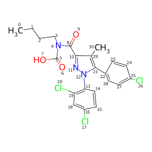 CCCCN(C(=O)O)C(=O)c1nn(-c2ccc(Cl)cc2Cl)c(-c2ccc(Cl)cc2)c1C